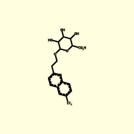 O=C(O)C1OC(OCCc2ccc3cc(C(F)(F)F)ccc3n2)C(O)C(O)C1O